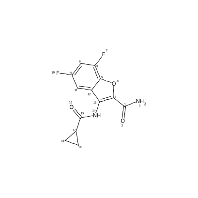 NC(=O)c1oc2c(F)cc(F)cc2c1NC(=O)C1CC1